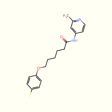 O=C(CCCCCOc1ccc(F)cc1)Nc1ccnc(C(F)(F)F)c1